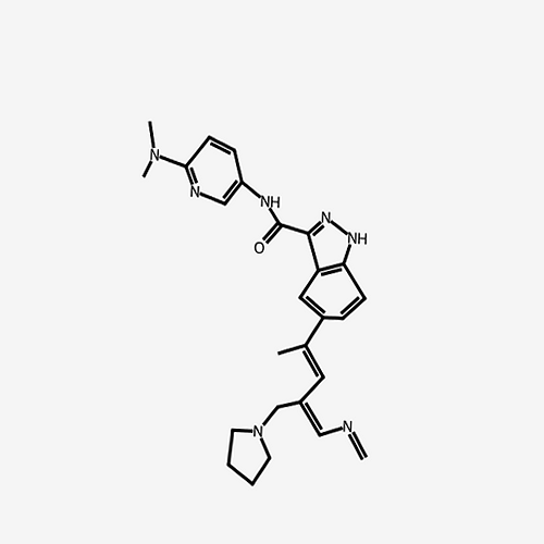 C=N/C=C(\C=C(/C)c1ccc2[nH]nc(C(=O)Nc3ccc(N(C)C)nc3)c2c1)CN1CCCC1